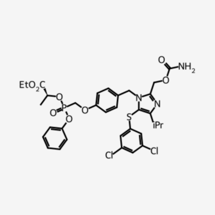 CCOC(=O)[C@H](C)OP(=O)(COc1ccc(Cn2c(COC(N)=O)nc(C(C)C)c2Sc2cc(Cl)cc(Cl)c2)cc1)Oc1ccccc1